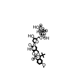 COc1ccc([N+](=O)[O-])c([C@@H](OCc2cn([C@H]3C[C@@H](O)[C@@H](COP(=O)(O)OP(=O)(O)OP(=O)(O)O)O3)c(=O)[nH]c2=O)C(C)(C)C)c1